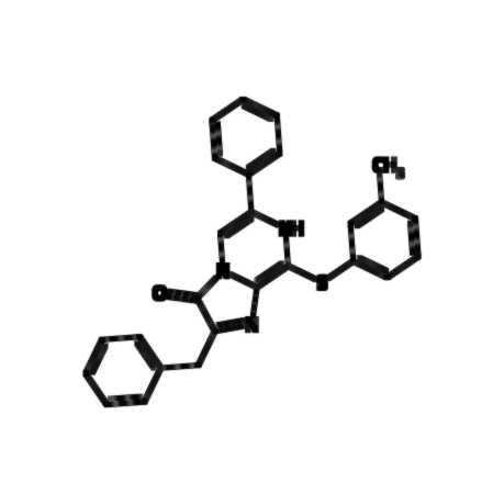 Cc1cccc(Sc2[nH]c(-c3ccccc3)cn3c(=O)c(Cc4ccccc4)nc2-3)c1